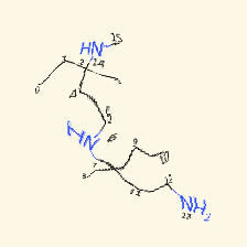 CCC(C)(CCNC(C)(CC)CCN)NC